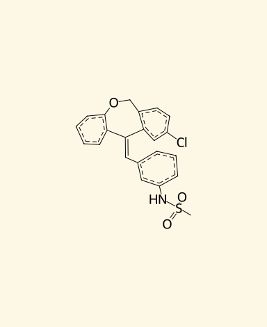 CS(=O)(=O)Nc1cccc(/C=C2\c3cc(Cl)ccc3COc3ccccc32)c1